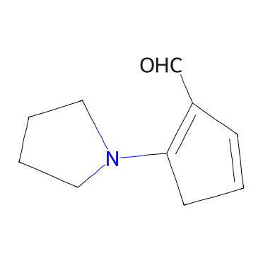 O=CC1=C(N2CCCC2)CC=C1